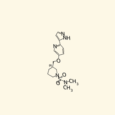 CN(C)S(=O)(=O)N1CCC[C@@H](COc2ccc(-c3ccn[nH]3)nc2)C1